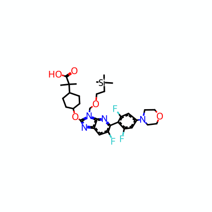 CC(C)(C(=O)O)C1CCC(Oc2nc3cc(F)c(-c4c(F)cc(N5CCOCC5)cc4F)nc3n2COCC[Si](C)(C)C)CC1